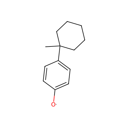 CC1(c2ccc([O])cc2)CCCCC1